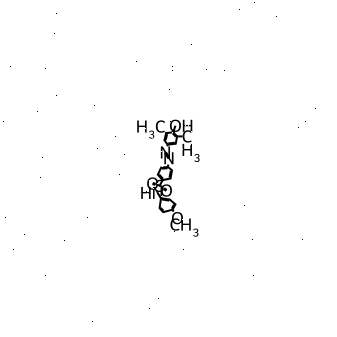 COc1ccc(NS(=O)(=O)c2ccc(/N=N/c3cc(C)c(O)c(C)c3)cc2)cc1